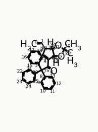 C=C[C@@H]1C=C(C(=O)C(c2ccccc2)(c2ccccc2)c2ccccc2)[C@H]2OC(C)(C)O[C@@H]12